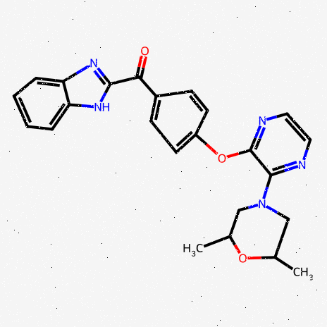 CC1CN(c2nccnc2Oc2ccc(C(=O)c3nc4ccccc4[nH]3)cc2)CC(C)O1